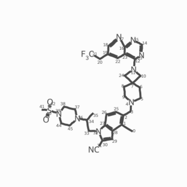 Cc1c(CN2CCC3(CC2)CN(c2ncnc4ncc(CC(F)(F)F)cc24)C3)ccc2c1cc(C#N)n2CC(C)N1CCN(S(C)(=O)=O)CC1